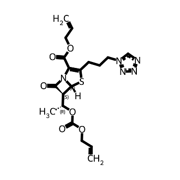 C=CCOC(=O)O[C@H](C)[C@H]1C(=O)N2C(C(=O)OCC=C)=C(CCCn3cnnn3)S[C@H]12